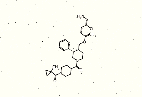 C=C(/C=C\C(Cl)=C/N)OC[C@H]1CCN(C(=O)C2CCN(C(=O)C3(C)CC3)CC2)C[C@@H]1c1ccccc1